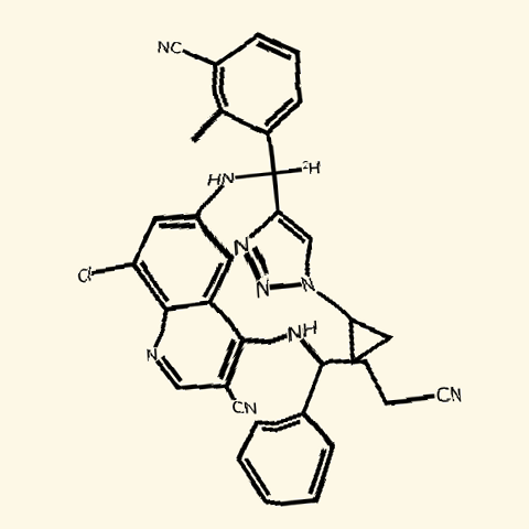 [2H]C(Nc1cc(Cl)c2ncc(C#N)c(NC(CCC#N)c3ccccc3)c2c1)(c1cn(C2CC2)nn1)c1cccc(C#N)c1C